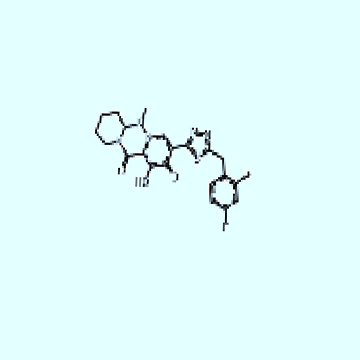 CN1C2CCCCN2C(=O)c2c(O)c(=O)c(-c3nnc(Cc4ccc(F)cc4F)s3)cn21